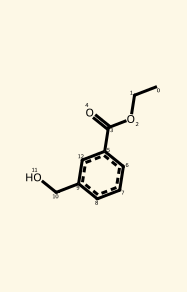 CCOC(=O)c1cccc([CH]O)c1